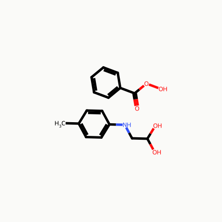 Cc1ccc(NCC(O)O)cc1.O=C(OO)c1ccccc1